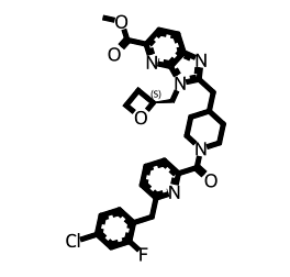 COC(=O)c1ccc2nc(CC3CCN(C(=O)c4cccc(Cc5ccc(Cl)cc5F)n4)CC3)n(C[C@@H]3CCO3)c2n1